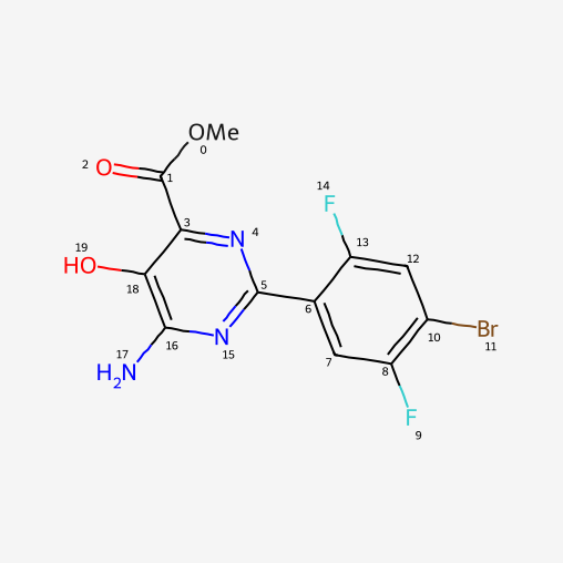 COC(=O)c1nc(-c2cc(F)c(Br)cc2F)nc(N)c1O